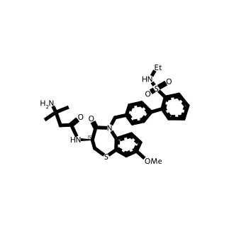 CCNS(=O)(=O)c1ccccc1-c1ccc(CN2C(=O)[C@H](NC(=O)CC(C)(C)N)CSc3cc(OC)ccc32)cc1